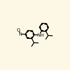 CC(C)c1ccccc1Nc1ccc(N=O)cc1C(C)C